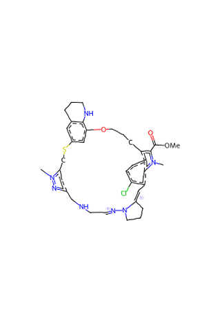 COC(=O)c1c2c3ccc(Cl)c(c3n1C)/C=C1\CCCN1/N=C/CNCc1cc(n(C)n1)CSc1cc3c(c(c1)OCCC2)NCCC3